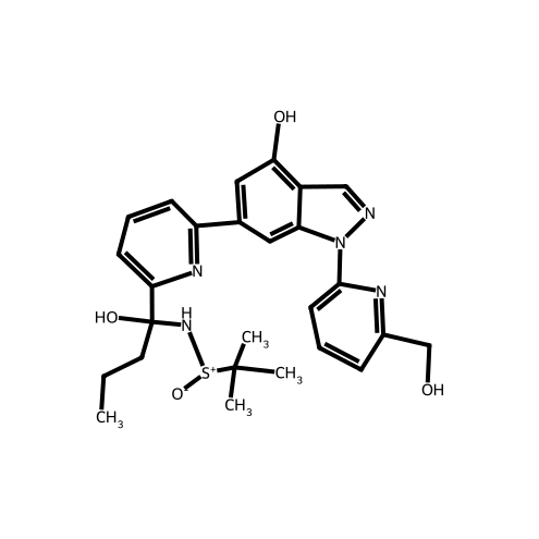 CCCC(O)(N[S+]([O-])C(C)(C)C)c1cccc(-c2cc(O)c3cnn(-c4cccc(CO)n4)c3c2)n1